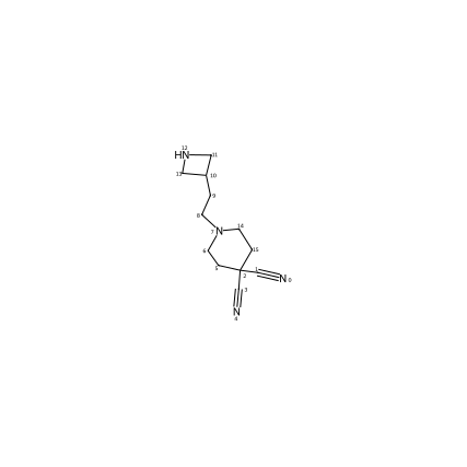 N#CC1(C#N)CCN(CCC2CNC2)CC1